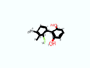 CCCc1ccc(-c2c(O)cccc2O)c(F)c1C